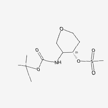 CC(C)(C)OC(=O)NC1COCC[C@@H]1OS(C)(=O)=O